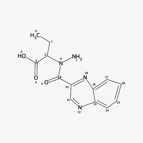 CCC(C(=O)O)N(N)C(=O)c1cnc2ccccc2n1